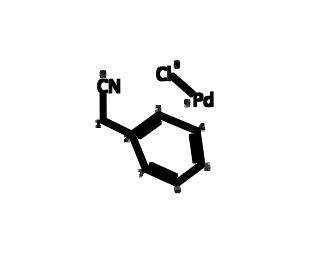 N#CCc1ccccc1.[Cl][Pd]